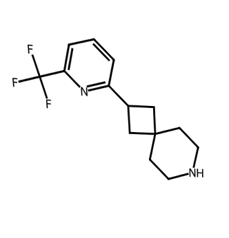 FC(F)(F)c1cccc(C2CC3(CCNCC3)C2)n1